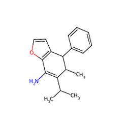 CC(C)C1=C(N)c2occc2C(c2ccccc2)C1C